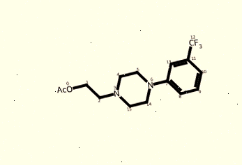 CC(=O)OCCN1CCN(c2cccc(C(F)(F)F)c2)CC1